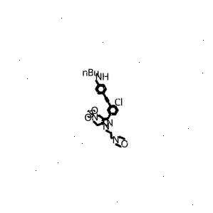 CCCCNCc1ccc(C#Cc2cc(-c3nn(CCCN4CCOCC4)c4c3CN(S(C)(=O)=O)CC4)ccc2Cl)cc1